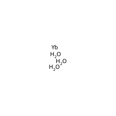 O.O.O.[Yb]